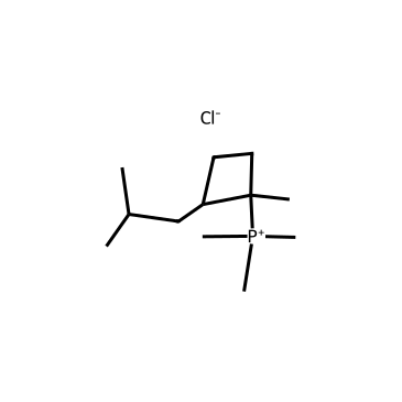 CC(C)CC1CCC1(C)[P+](C)(C)C.[Cl-]